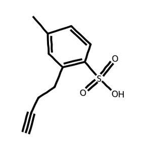 C#CCCc1cc(C)ccc1S(=O)(=O)O